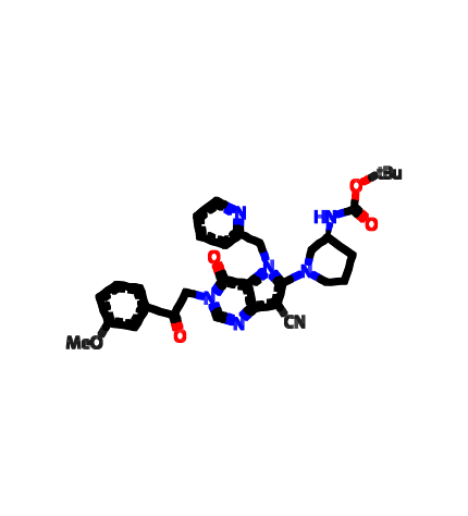 COc1cccc(C(=O)Cn2cnc3c(C#N)c(N4CCC[C@H](NC(=O)OC(C)(C)C)C4)n(Cc4ccccn4)c3c2=O)c1